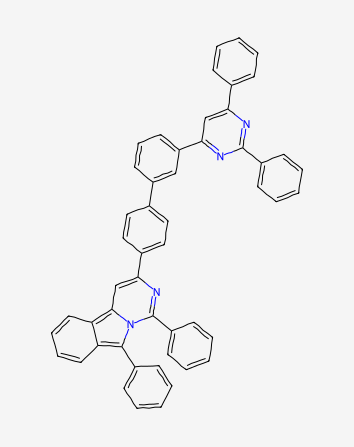 c1ccc(-c2cc(-c3cccc(-c4ccc(-c5cc6c7ccccc7c(-c7ccccc7)n6c(-c6ccccc6)n5)cc4)c3)nc(-c3ccccc3)n2)cc1